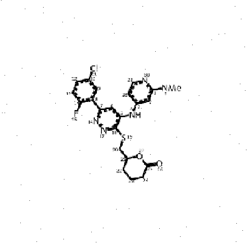 CNc1cc(Nc2cc(-c3cc(Cl)ccc3F)nnc2SCC2CCCC(=O)O2)ccn1